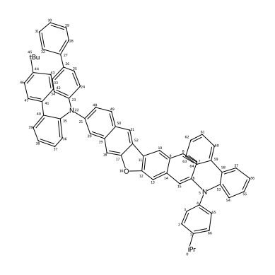 CC(C)c1ccc(N(c2ccc3cc4c(cc3c2)oc2cc3cc(N(c5ccc(-c6ccccc6)cc5)c5ccccc5-c5ccc(C(C)(C)C)cc5)ccc3cc24)c2ccccc2-c2ccccc2)cc1